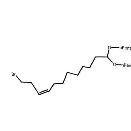 CCCCCOC(CCCCCCC/C=C\CCBr)OCCCCC